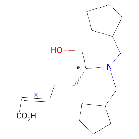 O=C(O)/C=C/CC[C@H](CO)N(CC1CCCC1)CC1CCCC1